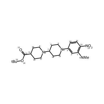 CNc1cc(N2CCC(N3CCC(C(=O)OC(C)(C)C)CC3)CC2)ccc1[N+](=O)[O-]